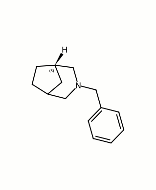 c1ccc(CN2CC3CC[C@@H](C3)C2)cc1